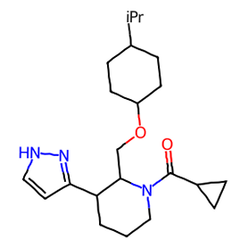 CC(C)C1CCC(OCC2C(c3cc[nH]n3)CCCN2C(=O)C2CC2)CC1